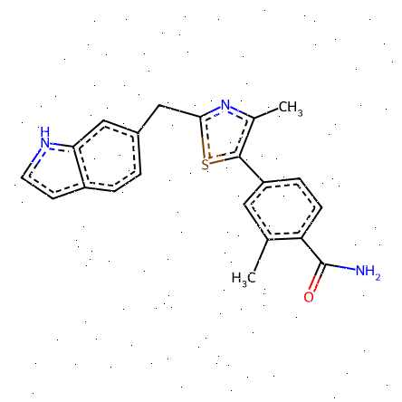 Cc1cc(-c2sc(Cc3ccc4cc[nH]c4c3)nc2C)ccc1C(N)=O